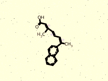 C/C(=C/C=C/C(C)=C/C(=O)O)c1ccc2ccccc2c1